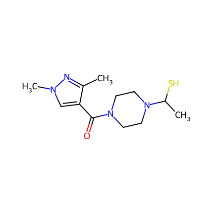 Cc1nn(C)cc1C(=O)N1CCN(C(C)S)CC1